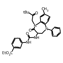 CCOC(=O)c1cccc(NC(=O)NC2CN(c3ccccc3)c3ccc(C)cc3N(CC(=O)C(C)(C)C)C2=O)c1